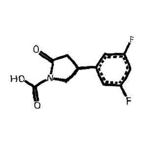 O=C(O)N1CC(c2cc(F)cc(F)c2)CC1=O